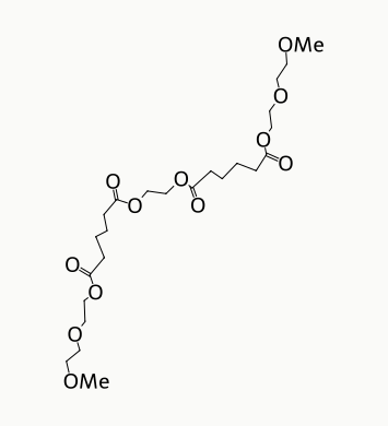 COCCOCCOC(=O)CCCCC(=O)OCCOC(=O)CCCCC(=O)OCCOCCOC